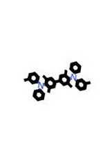 Cc1cccc(N(c2ccccc2)c2c(C)cc(-c3cc(C)c(N(c4ccccc4)c4cccc(C)c4)c(C)c3)cc2C)c1